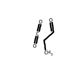 CCC=O.O=C=O